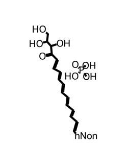 CCCCCCCCCC=CC=CC=CC=CC=CC=CC(=O)C(O)C(O)CO.O=P(O)(O)O